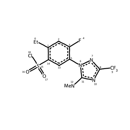 CCc1cc(F)c(-n2nc(C(F)(F)F)nc2NC)cc1S(=O)(=O)Cl